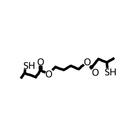 CC(S)CC(=O)OCCCCOC(=O)CC(C)S